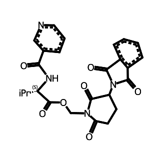 CC(C)[C@H](NC(=O)c1cccnc1)C(=O)OCN1C(=O)CCC(N2C(=O)c3ccccc3C2=O)C1=O